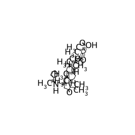 CC(C)C1=C2[C@H]3CC[C@@H]4[C@@]5(C)CC[C@H](OC(=O)[C@H]6C[C@@H](C(=O)O)C6(C)C)C(C)(C)[C@@H]5CC[C@@]4(C)[C@]3(C)CC[C@@]2(CCN[C@H](C)c2ccccc2)CC1=O